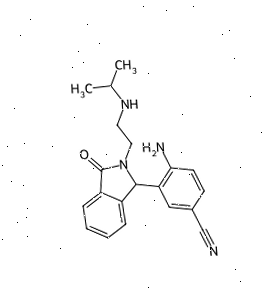 CC(C)NCCN1C(=O)c2ccccc2C1c1cc(C#N)ccc1N